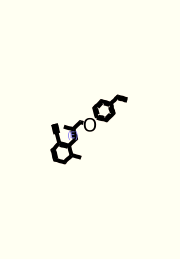 C#CC1=C(/C=C(\C)COc2ccc(C=C)cc2)C(C)CC=C1